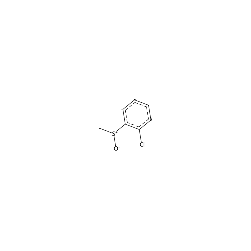 C[S+]([O-])c1[c]cccc1Cl